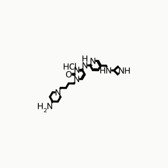 Cl.NC1CCN(CCCCn2ccc(Nc3ccc(CNC4CNC4)cn3)nc2=O)CC1